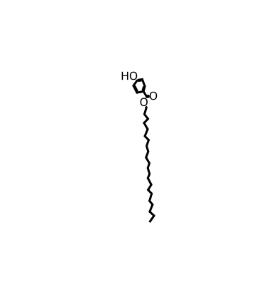 CCCCCCCCCCCCCCCCCCCCCCOC(=O)c1ccc(O)cc1